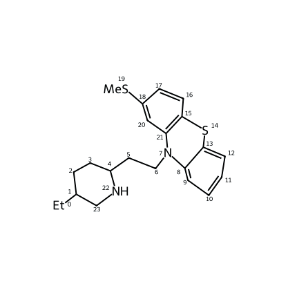 CCC1CCC(CCN2c3ccccc3Sc3ccc(SC)cc32)NC1